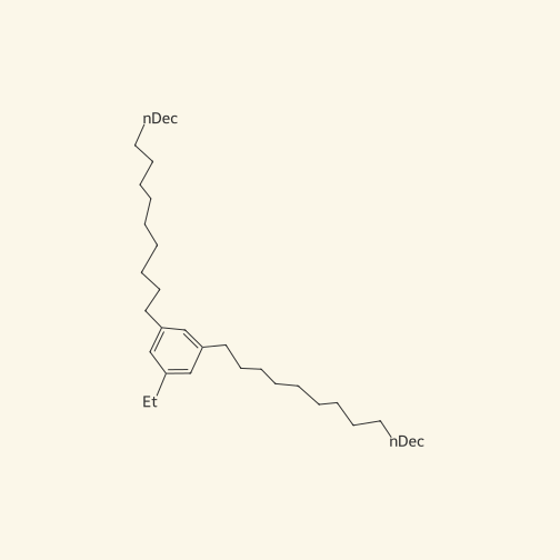 CCCCCCCCCCCCCCCCCCCc1cc(CC)cc(CCCCCCCCCCCCCCCCCCC)c1